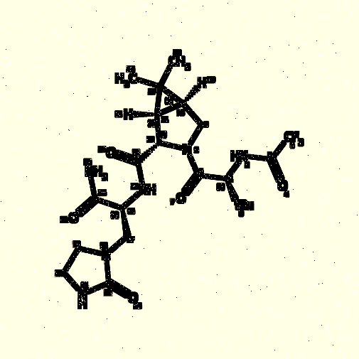 CC(C)(C)[C@H](NC(=O)C(F)(F)F)C(=O)N1C[C@H]2[C@@H]([C@H]1C(=O)N[C@@H](CN1CCNC1=O)C(N)=O)C2(C)C